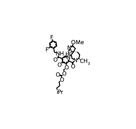 COC1=NO[C@@]2(CC[C@H](C)N3C[C@H]2n2cc(C(=O)NCc4ccc(F)cc4F)c(=O)c(OCOC(=O)OCCCC(C)C)c2C3=O)C1